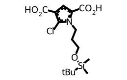 CC(C)(C)[Si](C)(C)OCCCn1c(C(=O)O)cc(C(=O)O)c1Cl